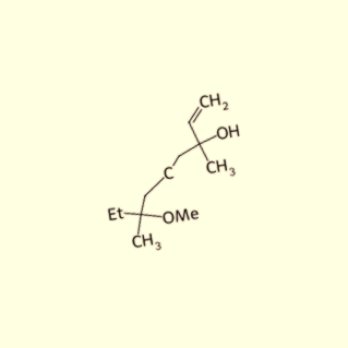 C=CC(C)(O)CCCC(C)(CC)OC